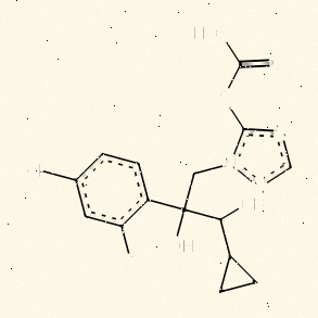 CC(=O)Sc1ncnn1CC(O)(c1ccc(Cl)cc1Cl)C(C)C1CC1